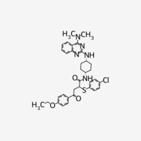 CCOc1ccc(C(=O)CC(Sc2ccc(Cl)cc2)C(=O)N[C@H]2CC[C@@H](Nc3nc(N(C)C)c4ccccc4n3)CC2)cc1